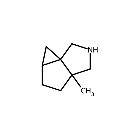 CC12CCC3CC31CNC2